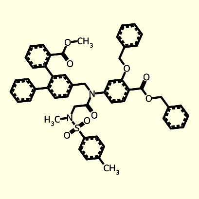 COC(=O)c1ccccc1-c1cc(CN(C(=O)CN(C)S(=O)(=O)c2ccc(C)cc2)c2ccc(C(=O)OCc3ccccc3)c(OCc3ccccc3)c2)ccc1-c1ccccc1